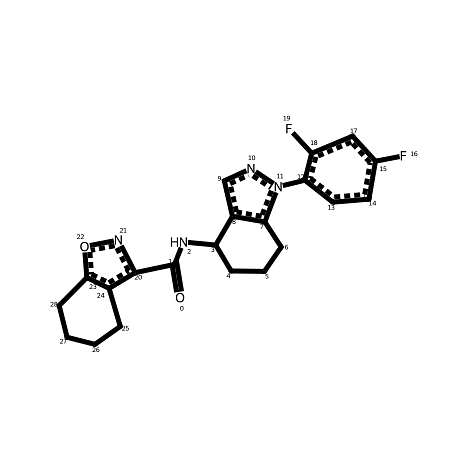 O=C(NC1CCCc2c1cnn2-c1ccc(F)cc1F)c1noc2c1CCCC2